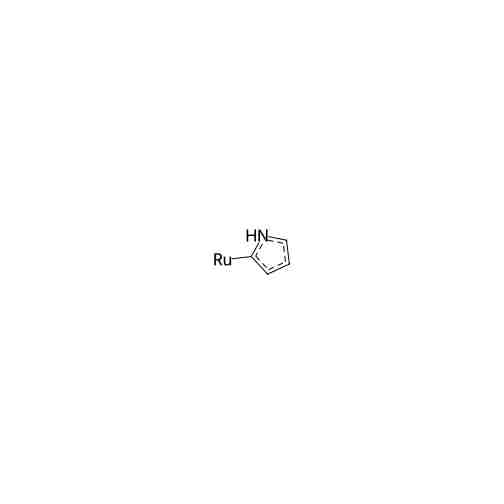 [Ru][c]1ccc[nH]1